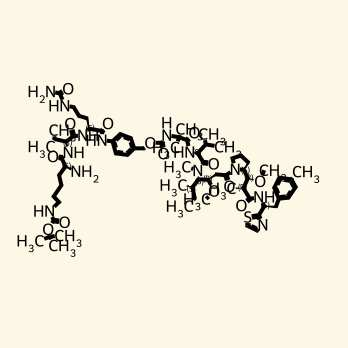 CC[C@H](C)[C@@H]([C@@H](CC(=O)N1CCC[C@H]1[C@H](OC)[C@@H](C)C(=O)N[C@@H](Cc1ccc(C)cc1)c1nccs1)OC)N(C)C(=O)[C@@H](NC(=O)C(C)(C)NC(=O)OCc1ccc(NC(=O)[C@H](CCCNC(N)=O)NC(=O)[C@@H](NC(=O)[C@@H](N)CCCCNC(=O)OC(C)(C)C)C(C)C)cc1)C(C)C